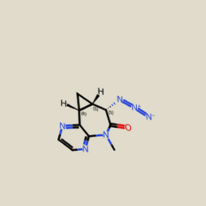 CN1C(=O)[C@@H](N=[N+]=[N-])[C@H]2C[C@H]2c2nccnc21